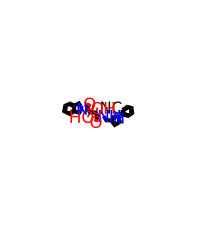 N#Cc1ccccc1N1CCC(CNC(=O)[C@H](O)[C@@H](O)C(=O)N2Cc3ccccc3C2)C1